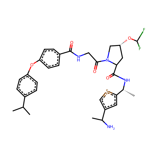 CC(C)c1ccc(Oc2ccc(C(=O)NCC(=O)N3C[C@H](OC(F)F)CC3C(=O)N[C@H](C)c3cc(C(C)N)cs3)cc2)cc1